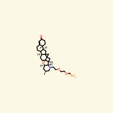 C[C@H]1C[C@H]2OC34CC[C@H]5C6CCC7=CC(=O)CC[C@]7(C)[C@H]6CC56CC63C[C@@H]4[C@@H]2N(CCOCCOCP)C1